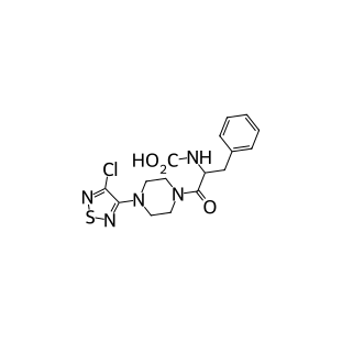 O=C(O)NC(Cc1ccccc1)C(=O)N1CCN(c2nsnc2Cl)CC1